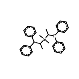 CC(P(c1ccccc1)c1ccccc1)[Si](C)(C)C(C)P(c1ccccc1)c1ccccc1